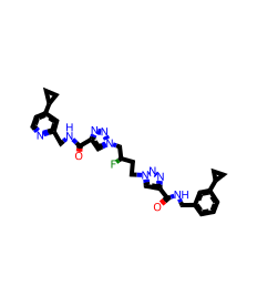 O=C(NCc1cccc(C2CC2)c1)c1cn(CCC(F)Cn2cc(C(=O)NCc3cc(C4CC4)ccn3)nn2)nn1